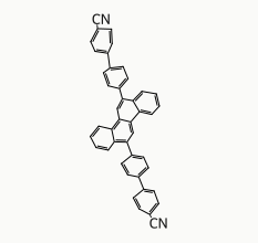 N#Cc1ccc(-c2ccc(-c3cc4c5ccccc5c(-c5ccc(-c6ccc(C#N)cc6)cc5)cc4c4ccccc34)cc2)cc1